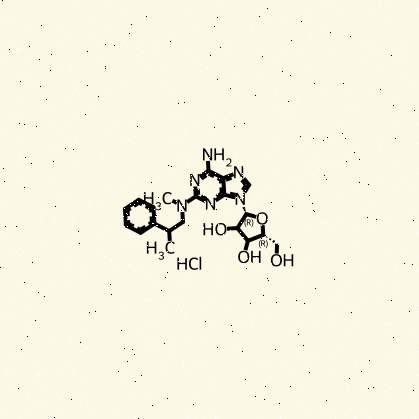 CC(CN(C)c1nc(N)c2ncn([C@@H]3O[C@H](CO)C(O)C3O)c2n1)c1ccccc1.Cl